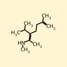 C=C(C)CC/C(=C(\C)NC)C(C)C